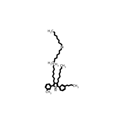 CCCCCCCCC1=C(c2cccc(C)c2)[N+](=[N-])C(c2cccc(CCCC)c2)=C1CCCCCCCC.CCCCCCC[CH2][Ni][CH2]CCCCCCC